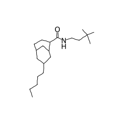 CCCCCC1CC2CCC(C(=O)NCCC(C)(C)C)C(C1)C2